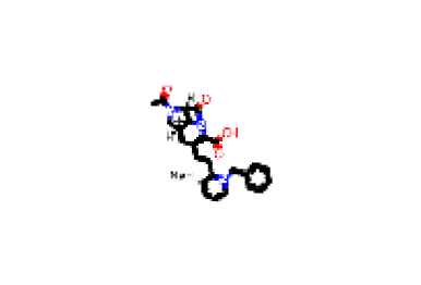 CC(=O)N1C[C@H]2CC(/C=C/c3cccc[n+]3Cc3ccccc3)=C(C(=O)O)N3C(=O)[C@@H]1[C@@H]23.[NaH]